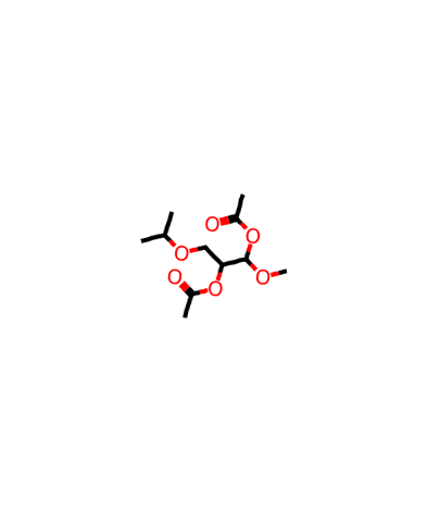 COC(OC(C)=O)C(COC(C)C)OC(C)=O